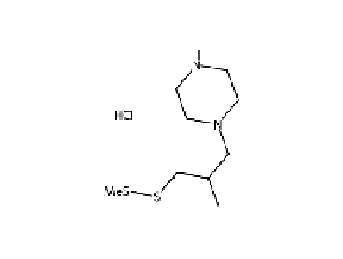 CSSCC(C)CN1CCNCC1.Cl